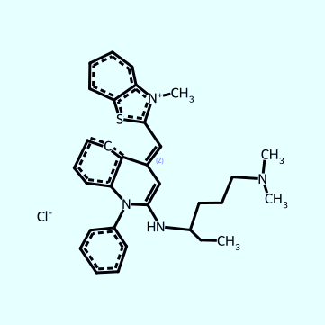 CCC(CCCN(C)C)NC1=C/C(=C/c2sc3ccccc3[n+]2C)c2ccccc2N1c1ccccc1.[Cl-]